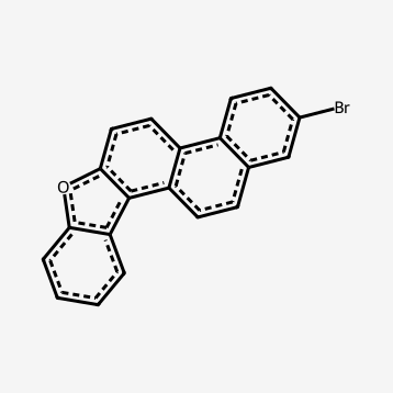 Brc1ccc2c(ccc3c2ccc2oc4ccccc4c23)c1